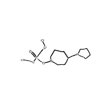 O=P(OCl)(OCl)ON1CCC(N2CCCC2)CC1